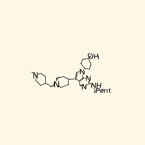 CCC[C@H](C)Nc1ncc2c(C3CCN(CC4CCN(C)CC4)CC3)cn([C@H]3CC[C@H](O)CC3)c2n1